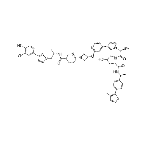 Cc1ccsc1-c1ccc([C@H](C)NC(=O)C2C[C@@H](O)CN2C(=O)[C@H](C(C)C)n2cc(-c3ccnc(OC4CN(C5=NCC(C(=O)NC(C)Cn6ccc(-c7ccc(C#N)c(Cl)c7)n6)C=C5)C4)c3)cn2)cc1